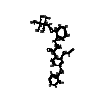 CCSc1cc(Oc2ccccn2)cnc1C(=O)NCc1ncccc1OCC(F)(F)C(F)(F)F